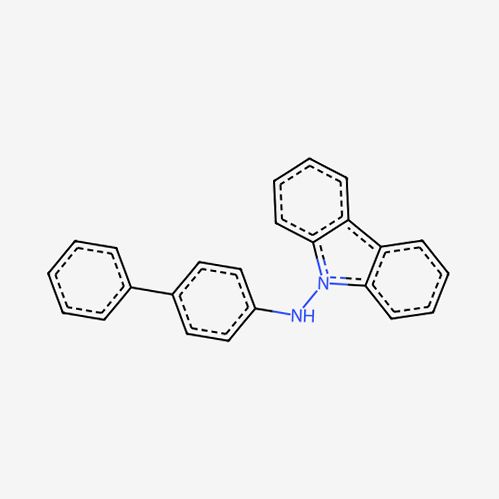 c1ccc(-c2ccc(Nn3c4ccccc4c4ccccc43)cc2)cc1